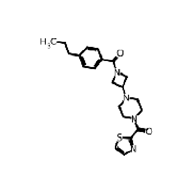 CCCc1ccc(C(=O)N2CC(N3CCN(C(=O)c4nccs4)CC3)C2)cc1